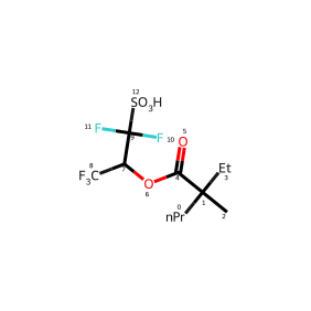 CCCC(C)(CC)C(=O)OC(C(F)(F)F)C(F)(F)S(=O)(=O)O